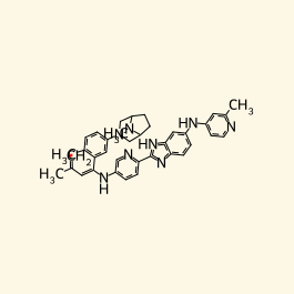 C=C(C)/C=C(/Nc1ccc(-c2nc3ccc(Nc4ccnc(C)c4)cc3[nH]2)nc1)c1cc(N2CC3CCC(C2)N3C)ccc1C